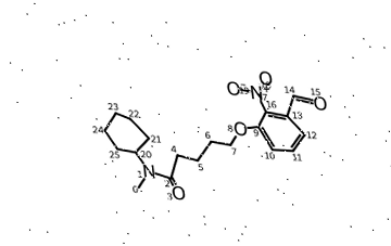 CN(C(=O)CCCCOc1cccc(C=O)c1[N+](=O)[O-])C1CCCCC1